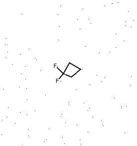 FC1(F)C[CH]C1